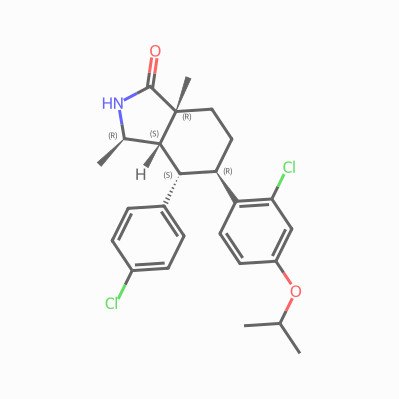 CC(C)Oc1ccc([C@@H]2CC[C@@]3(C)C(=O)N[C@H](C)[C@H]3[C@H]2c2ccc(Cl)cc2)c(Cl)c1